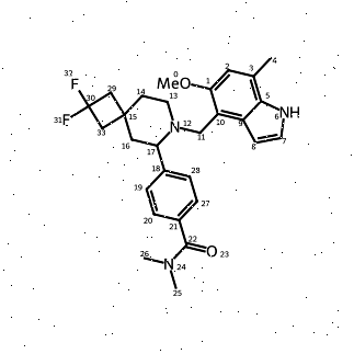 COc1cc(C)c2[nH]ccc2c1CN1CCC2(CC1c1ccc(C(=O)N(C)C)cc1)CC(F)(F)C2